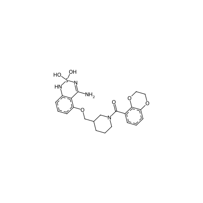 NC1=NS(O)(O)Nc2cccc(OCC3CCCN(C(=O)c4cccc5c4OCCO5)C3)c21